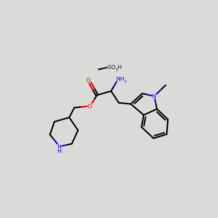 CS(=O)(=O)O.Cn1cc(CC(N)C(=O)OCC2CCNCC2)c2ccccc21